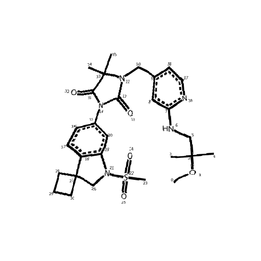 COC(C)(C)CNc1cc(CN2C(=O)N(c3ccc4c(c3)N(S(C)(=O)=O)CC43CCC3)C(=O)C2(C)C)ccn1